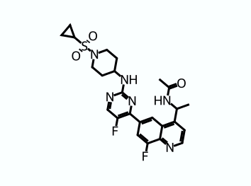 CC(=O)NC(C)c1ccnc2c(F)cc(-c3nc(NC4CCN(S(=O)(=O)C5CC5)CC4)ncc3F)cc12